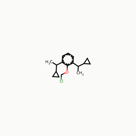 CC(c1cccc(C(C)C2CC2)c1OCCl)C1CC1